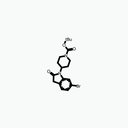 CC(C)(C)OC(=O)N1CCC(N2C(=O)Cc3ccc(Br)cc32)CC1